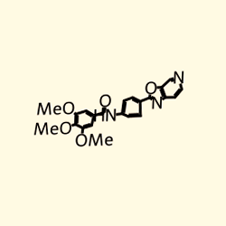 COc1cc(C(=O)Nc2ccc(-c3nc4ccncc4o3)cc2)cc(OC)c1OC